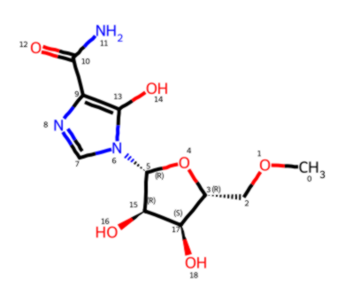 COC[C@H]1O[C@@H](n2cnc(C(N)=O)c2O)[C@H](O)[C@@H]1O